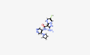 Nc1nn2cc(F)cnc2c1C(=O)Nc1cnncc1N1CCCC1